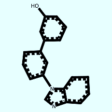 Oc1cccc(-c2cccc(-n3cnc4ccccc43)c2)c1